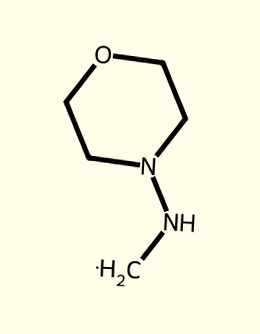 [CH2]NN1CCOCC1